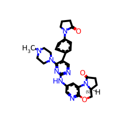 CN1CCN(c2nc(Nc3cnc4c(c3)N3C(=O)CC[C@H]3CO4)ncc2-c2ccc(N3CCCC3=O)cc2)CC1